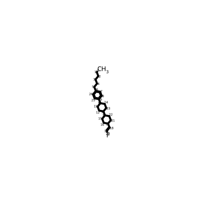 CCCCCCc1ccc(C2CCC(C3CCC(/C=C/F)CC3)CC2)cc1